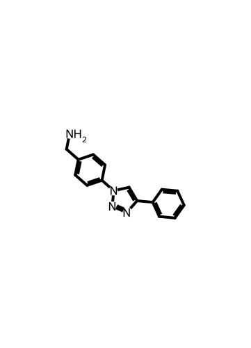 NCc1ccc(-n2cc(-c3ccccc3)nn2)cc1